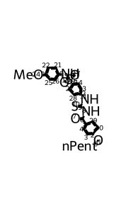 CCCCCOc1ccc(C(=O)NC(=S)Nc2ccc(S(=O)(=O)Nc3ccc(OC)cc3)cc2)cc1